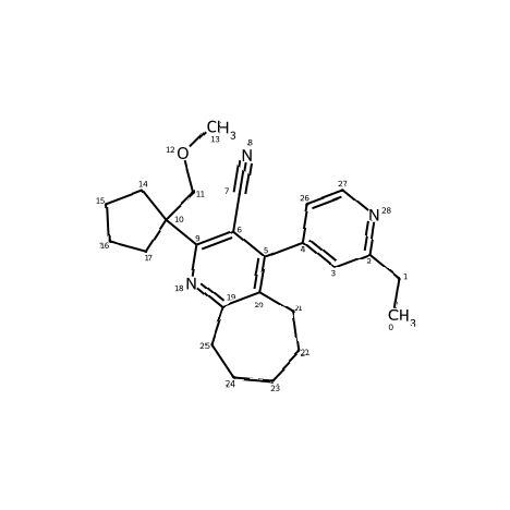 CCc1cc(-c2c(C#N)c(C3(COC)CCCC3)nc3c2CCCCC3)ccn1